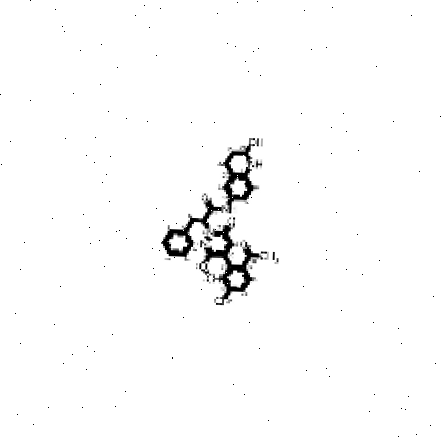 COc1nn([C@@H](Cc2ccccc2)C(=O)Nc2ccc3c(c2)CCC(O)N3)c(=O)cc1-c1cc(Cl)ccc1C(C)=O